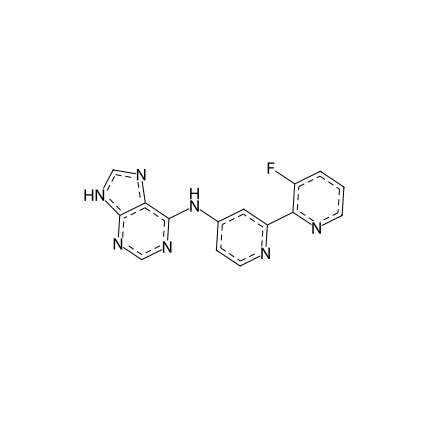 Fc1cccnc1-c1cc(Nc2ncnc3[nH]cnc23)ccn1